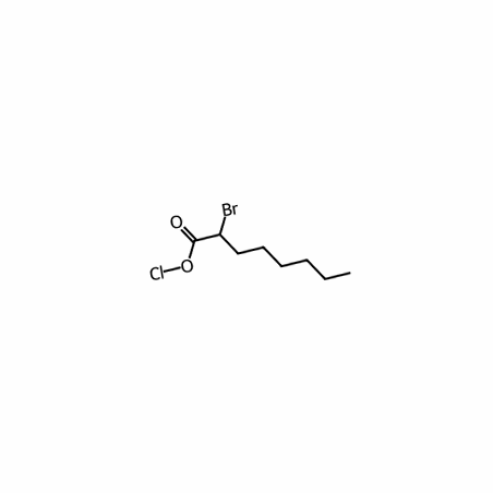 CCCCCCC(Br)C(=O)OCl